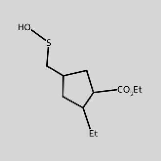 CCOC(=O)C1CC(CSO)CC1CC